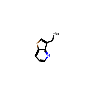 CC(C)(C)Cc1csc2cccnc12